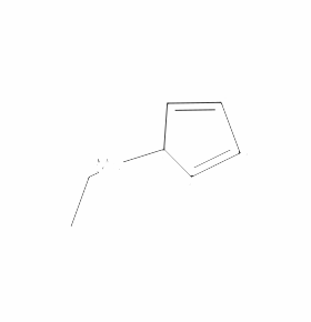 C[CH2][Mg][CH]1C=CC=C1